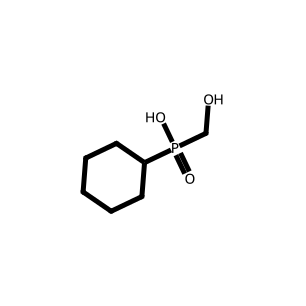 O=P(O)(CO)C1CCCCC1